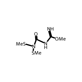 COC(=N)NC(=O)N(SC)SC